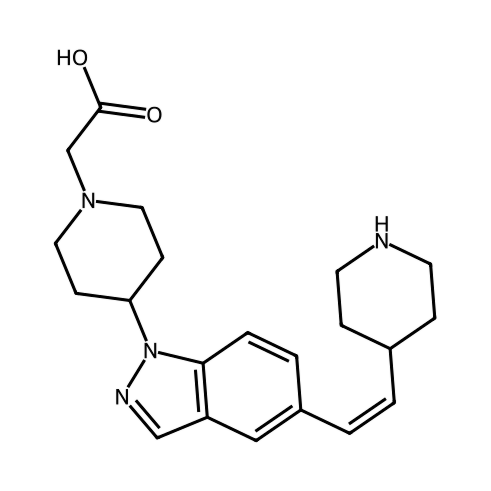 O=C(O)CN1CCC(n2ncc3cc(/C=C\C4CCNCC4)ccc32)CC1